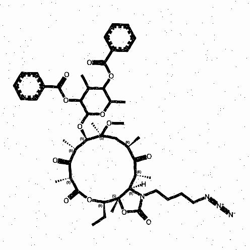 CC[C@H]1OC(=O)[C@H](C)C(=O)[C@H](C)[C@@H](OC2OC(C)C(OC(=O)c3ccccc3)C(C)C2OC(=O)c2ccccc2)[C@@](C)(OC)C[C@@H](C)C(=O)[C@H](C)[C@H]2N(CCCCN=[N+]=[N-])C(=O)O[C@]12C